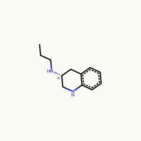 CCCN[C@H]1CNc2ccccc2C1